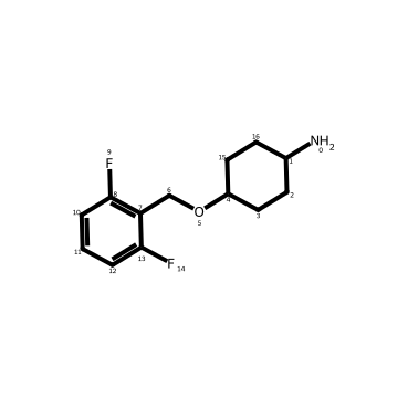 NC1CCC(OCc2c(F)cccc2F)CC1